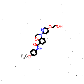 O=C(Nc1ccc(OC(F)(F)F)cc1)c1cccc2c1OCCN2c1ccc(OCCO)cn1